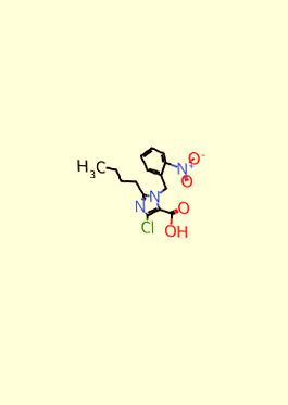 CCCCc1nc(Cl)c(C(=O)O)n1Cc1ccccc1[N+](=O)[O-]